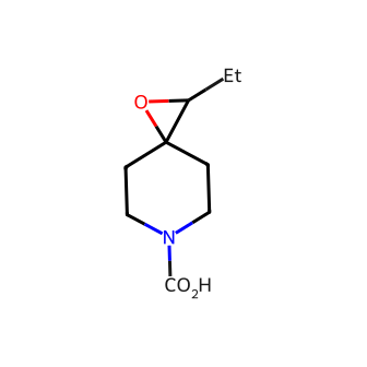 CCC1OC12CCN(C(=O)O)CC2